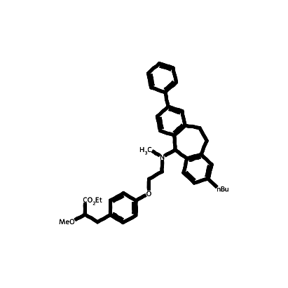 CCCCc1ccc2c(c1)CCc1cc(-c3ccccc3)ccc1C2N(C)CCOc1ccc(CC(OC)C(=O)OCC)cc1